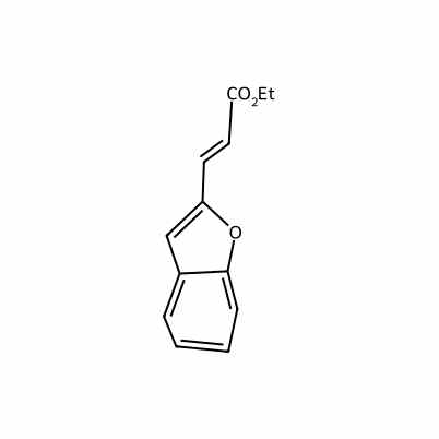 CCOC(=O)C=Cc1cc2ccccc2o1